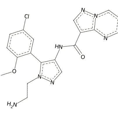 COc1ccc(Cl)cc1-c1c(NC(=O)c2cnn3cccnc23)cnn1CCN